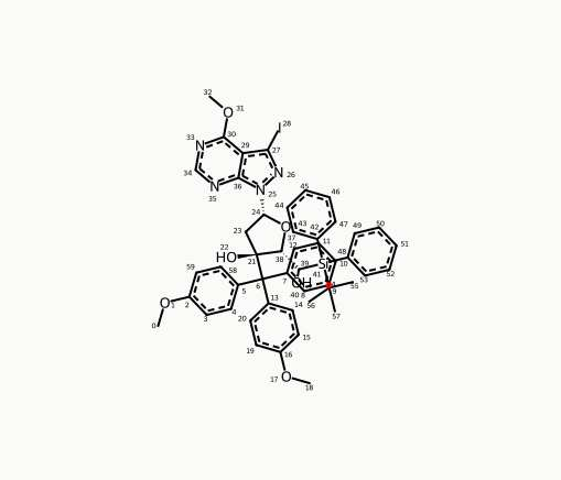 COc1ccc(C(c2ccccc2)(c2ccc(OC)cc2)[C@]2(O)C[C@H](n3nc(I)c4c(OC)ncnc43)O[C@@H]2C(O)[Si](c2ccccc2)(c2ccccc2)C(C)(C)C)cc1